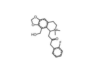 C[N+]1(C)CCc2cc3c(c(CO)c2C1CC(=O)Cc1ccccc1F)OCO3